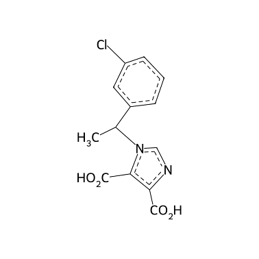 CC(c1cccc(Cl)c1)n1cnc(C(=O)O)c1C(=O)O